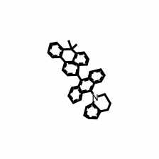 CC1(C)c2ccccc2-c2ccc(-c3c4ccccc4c(N4CCCc5ccccc54)c4ccccc34)c3cccc1c23